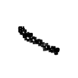 COc1ccc(CN2C(=O)CCC(c3ccc(N4CCC(CCC5CCN(c6ccc([N+](=O)[O-])nc6)CC5)CC4)cc3)C2=O)cc1